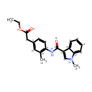 CCOC(=O)Cc1ccc(NC(=O)c2cn(C)c3ccccc23)c(C)c1